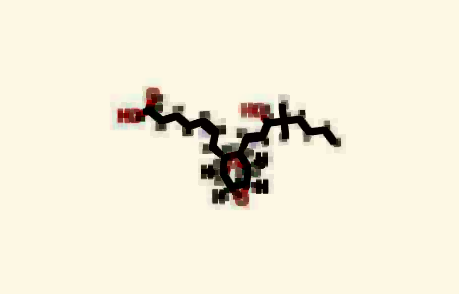 CCCCC(C)(C)C(O)/C=C/[C@@H]1[C@H](C/C=C\CCCC(=O)O)[C@H]2O[C@@H]1[C@H]1O[C@H]12